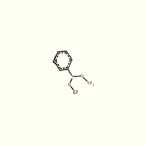 CCOP(OC(F)(F)F)c1ccccc1